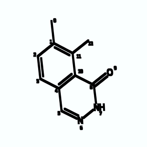 Cc1ccc2cn[nH]c(=O)c2c1C